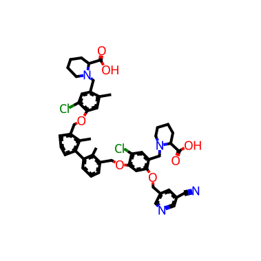 Cc1cc(OCc2cccc(-c3cccc(COc4cc(OCc5cncc(C#N)c5)c(CN5CCCCC5C(=O)O)cc4Cl)c3C)c2C)c(Cl)cc1CN1CCCCC1C(=O)O